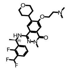 C[C@@H](Nc1nn(C)c(=O)c2cc(OCCN(C)C)c(C3CCOCC3)cc12)c1cccc(C(F)F)c1F